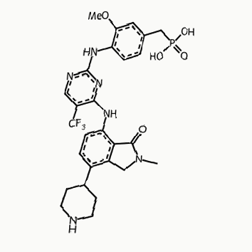 COc1cc(CP(=O)(O)O)ccc1Nc1ncc(C(F)(F)F)c(Nc2ccc(C3CCNCC3)c3c2C(=O)N(C)C3)n1